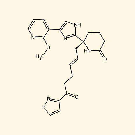 COc1ncccc1-c1c[nH]c([C@]2(C/C=C/CCC(=O)c3ccon3)CCCC(=O)N2)n1